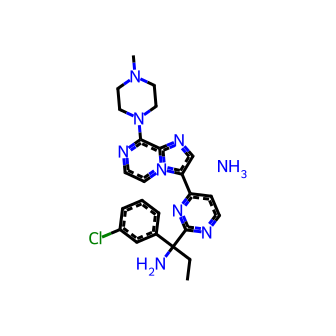 CCC(N)(c1cccc(Cl)c1)c1nccc(-c2cnc3c(N4CCN(C)CC4)nccn23)n1.N